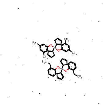 FC(F)(F)Cc1ccccc1[O][Zr]([O]c1ccccc1CC(F)(F)F)([C]1=CC=CC1)[C]1=CC=CC1.FC(F)(F)c1cc([O][Zr]([O]c2cc(C(F)(F)F)cc(C(F)(F)F)c2)([C]2=CC=CC2)[C]2=CC=CC2)cc(C(F)(F)F)c1